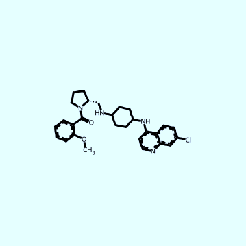 COc1ccccc1C(=O)N1CCC[C@@H]1CNC1CCC(Nc2ccnc3cc(Cl)ccc23)CC1